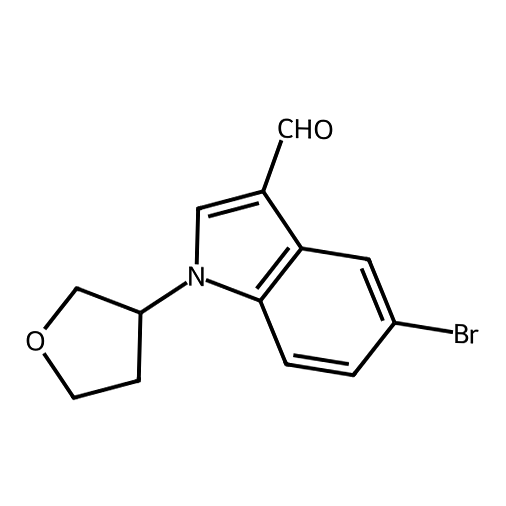 O=Cc1cn(C2CCOC2)c2ccc(Br)cc12